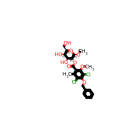 COc1c(Cl)c(OCc2ccccc2)c(Cl)c(C)c1C(=O)O[C@H]1[C@H](OC)O[C@H](CO)[C@H](O)[C@@H]1O